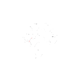 c1ccc(-c2cccc(N(c3ccccc3-c3ccccc3)c3cc4ccccc4c4ccccc34)c2)cc1